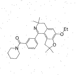 CCOc1cc2c(c3c1OC(C)(C)C3)C(c1cccc(C(=O)N3CCCCC3)c1)=NC(C)(C)C2